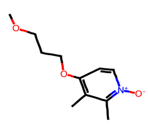 COCCCOc1cc[n+]([O-])c(C)c1C